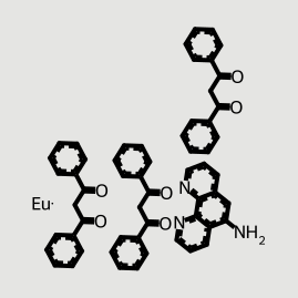 Nc1cc2cccnc2c2ncccc12.O=C(CC(=O)c1ccccc1)c1ccccc1.O=C(CC(=O)c1ccccc1)c1ccccc1.O=C(CC(=O)c1ccccc1)c1ccccc1.[Eu]